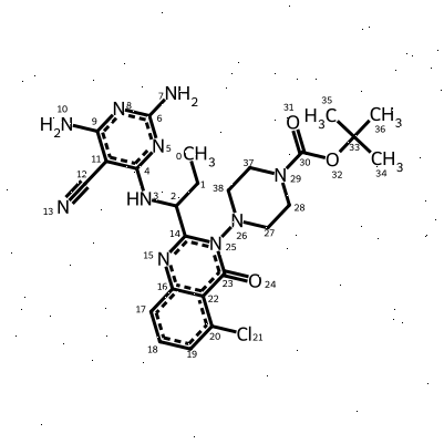 CCC(Nc1nc(N)nc(N)c1C#N)c1nc2cccc(Cl)c2c(=O)n1N1CCN(C(=O)OC(C)(C)C)CC1